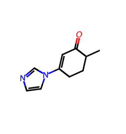 CC1CCC(n2ccnc2)=CC1=O